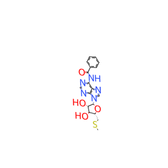 CSC[C@H]1O[C@@H](n2cnc3c(NC(=O)c4ccccc4)ncnc32)[C@@H](O)[C@@H]1O